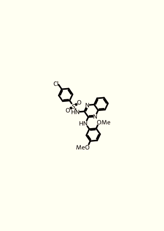 COc1ccc(OC)c(Nc2nc3ccccc3nc2NS(=O)(=O)c2ccc(Cl)cc2)c1